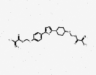 C=C(C)C(=O)OCOc1ccc(-c2ccc(C3CCC(OCOC(=O)C(=C)C)CC3)s2)cc1